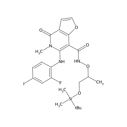 CC(CO[Si](C)(C)C(C)(C)C)ONC(=O)c1c(Nc2ccc(I)cc2F)n(C)c(=O)c2ccoc12